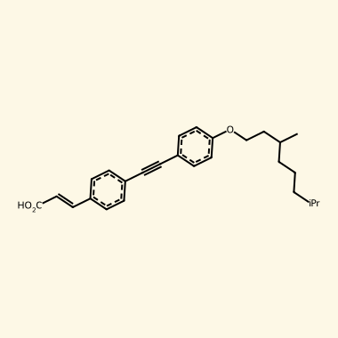 CC(C)CCCC(C)CCOc1ccc(C#Cc2ccc(C=CC(=O)O)cc2)cc1